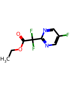 CCOC(=O)C(F)(F)c1ncc(F)cn1